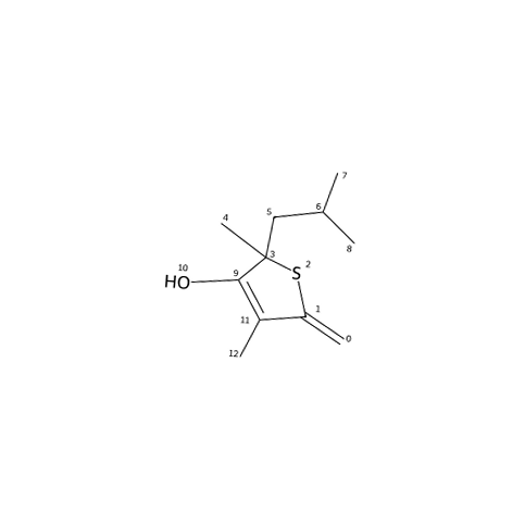 C=C1SC(C)(CC(C)C)C(O)=C1C